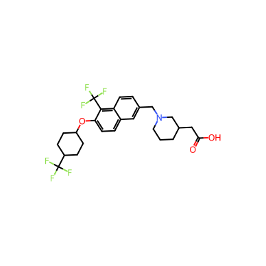 O=C(O)CC1CCCN(Cc2ccc3c(C(F)(F)F)c(OC4CCC(C(F)(F)F)CC4)ccc3c2)C1